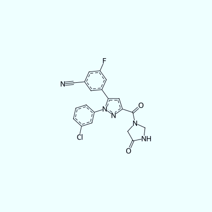 N#Cc1cc(F)cc(-c2cc(C(=O)N3CNC(=O)C3)nn2-c2cccc(Cl)c2)c1